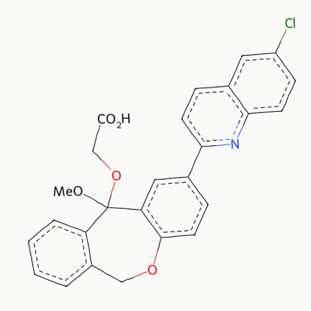 COC1(OCC(=O)O)c2ccccc2COc2ccc(-c3ccc4cc(Cl)ccc4n3)cc21